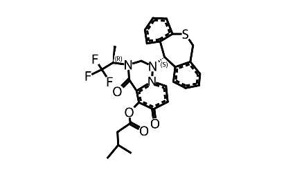 CC(C)CC(=O)Oc1c2n(ccc1=O)N([C@H]1c3ccccc3CSc3ccccc31)CN([C@H](C)C(F)(F)F)C2=O